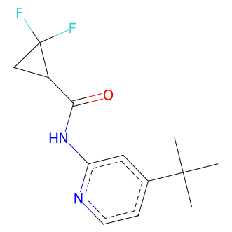 CC(C)(C)c1ccnc(NC(=O)C2CC2(F)F)c1